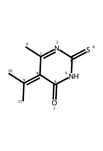 CC1=NC(=S)NC(=O)C1=C(C)C